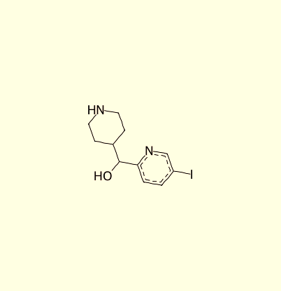 OC(c1ccc(I)cn1)C1CCNCC1